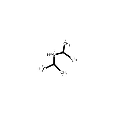 CC(C)[15NH]C(C)C